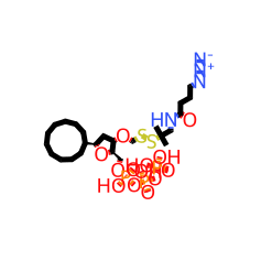 CC(C)(CNC(=O)CCCN=[N+]=[N-])SSCOC1C[C@H](C2CCCCCCCCCC2)O[C@@H]1COP(=O)(O)OP(=O)(O)OP(=O)(O)O